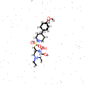 CCN(CC)CC(CS(=O)(=O)N1CCC(c2ccc(OC)cc2)CC1)N(O)C=O